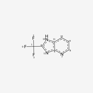 FC(F)(F)c1nc2nc[c]cc2[nH]1